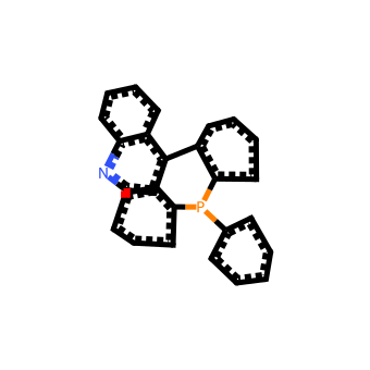 c1ccc(P(c2ccccc2)c2ccccc2-c2ccnc3ccccc23)cc1